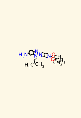 CC(C)=CCn1c(N2CC3CN(C(=O)OC(C)(C)C)CC3C2)nc2ccc(N)cc21